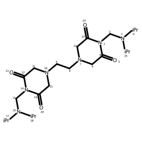 CC(C)N(CN1C(=O)CN(CCN2CC(=O)N(CN(C(C)C)C(C)C)C(=O)C2)CC1=O)C(C)C